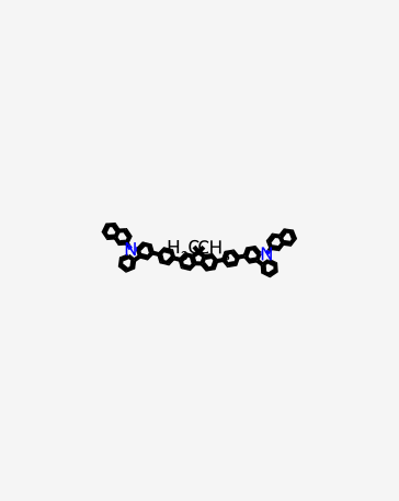 CC1(C)c2cc(-c3ccc(-c4ccc5c(c4)c4ccccc4n5-c4ccc5ccccc5c4)cc3)ccc2-c2ccc(-c3ccc(-c4ccc5c(c4)c4ccccc4n5-c4ccc5ccccc5c4)cc3)cc21